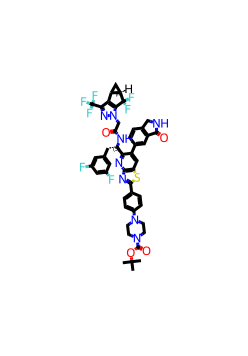 CC(C)(C)OC(=O)N1CCN(c2ccc(-c3nc4nc([C@H](Cc5cc(F)cc(F)c5)NC(=O)Cn5nc(C(F)(F)F)c6c5C(F)(F)[C@@H]5CC65)c(-c5ccc6c(c5)C(=O)NC6)cc4s3)cc2)CC1